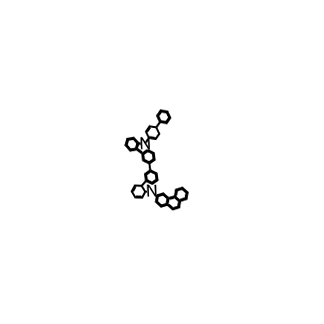 C1=CC2c3cc(-c4ccc5c(c4)c4ccccc4n5C4=CCC(c5ccccc5)C=C4)ccc3N(c3ccc4ccc5ccccc5c4c3)C2C=C1